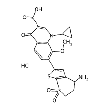 COc1c(-c2cc3c(s2)S(=O)(=O)CCC3N)ccc2c(=O)c(C(=O)O)cn(C3CC3)c12.Cl